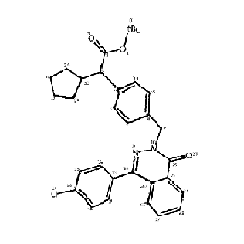 CC(C)(C)OC(=O)C(c1ccc(Cn2nc(-c3ccc(Cl)cc3)c3ccccc3c2=O)cc1)C1CCCC1